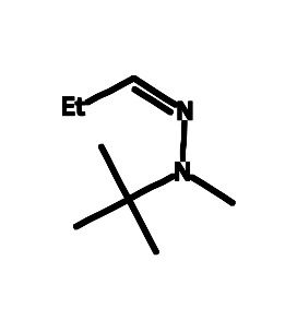 CC/C=N\N(C)C(C)(C)C